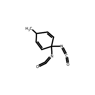 CC1C=CC(N=C=O)(N=C=O)C=C1